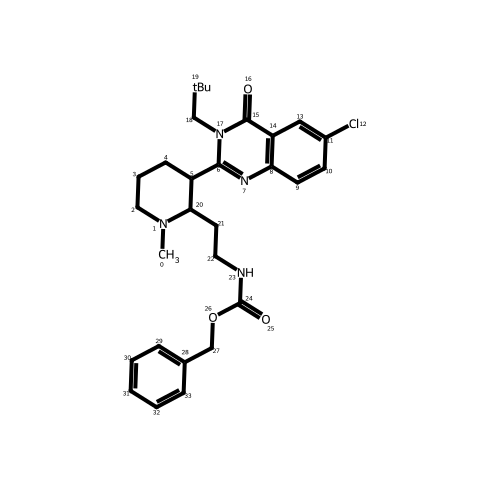 CN1CCCC(c2nc3ccc(Cl)cc3c(=O)n2CC(C)(C)C)C1CCNC(=O)OCc1ccccc1